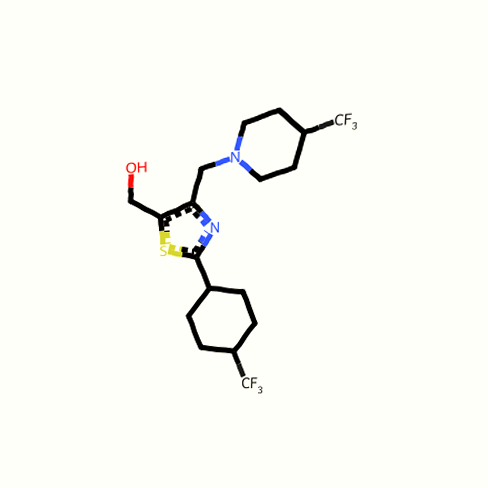 OCc1sc(C2CCC(C(F)(F)F)CC2)nc1CN1CCC(C(F)(F)F)CC1